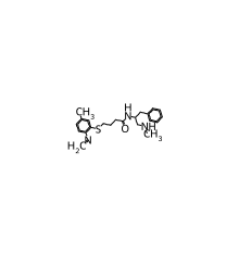 C=Nc1ccc(C)cc1SCCCC(=O)NC(CNC)Cc1ccccc1